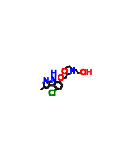 Cc1cnc2[nH]c3c(OCC4CN(CCO)CCO4)ccc(Cl)c3c2c1